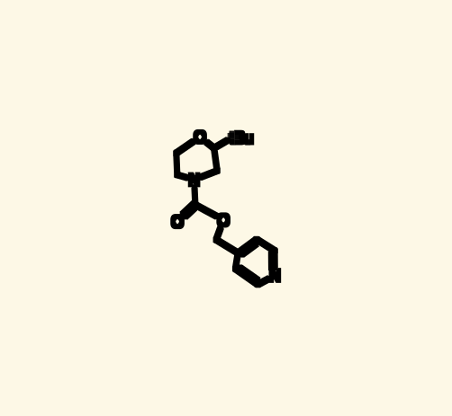 CC(C)(C)C1CN(C(=O)OCc2ccncc2)CCO1